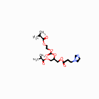 C=C(C)C(=O)OCCOC(=O)OC(COC(=O)CCn1ccnc1)COC(=O)C(=C)C